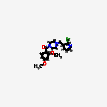 COc1ccc(C(=O)N2CCN(Cc3cccnc3Br)CC2)c(OC)c1